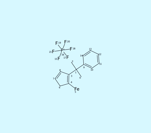 CC(C)(C1=[C]([Fe])CC=C1)c1ccccc1.F[P-](F)(F)(F)(F)F